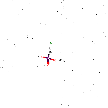 CC(C)P(=O)([O-])[O-].[Cl-].[Li+].[Li+].[Li+]